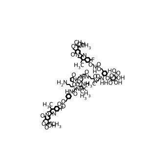 C=C1OCc2c(cc3n(c2=O)Cc2c-3nc3cc(F)c(OCNC(=O)OCc4ccc(O[C@@H]5O[C@H](C(=O)O)[C@@H](O)[C@H](O)[C@H]5O)c(NC(=O)CN(C)C(=O)CCNC(=O)CN(CCN5C(=O)C=CC5=O)CC(=O)N[C@H](C(=O)N[C@@H](CCCCN)C(=O)Nc5ccc(COC(=O)Oc6cc7c(CC)c8c(nc7cc6F)-c6cc7c(c(=O)n6C8)COC(=O)[C@]7(O)CC)cc5)C(C)C)c4)cc3c2CC)[C@@]1(O)CC